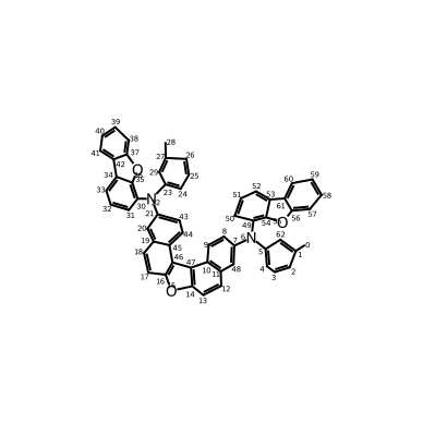 Cc1cccc(N(c2ccc3c(ccc4oc5ccc6cc(N(c7cccc(C)c7)c7cccc8c7oc7ccccc78)ccc6c5c43)c2)c2cccc3c2oc2ccccc23)c1